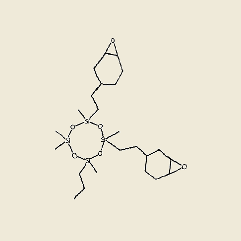 CCC[Si]1(C)O[Si](C)(C)O[Si](C)(CCC2CCC3OC3C2)O[Si](C)(CCC2CCC3OC3C2)O1